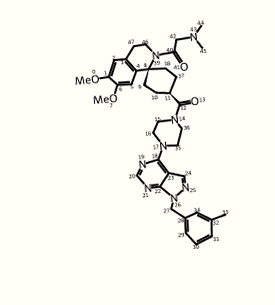 COc1cc2c(cc1OC)[C@]1(CC[C@H](C(=O)N3CCN(c4ncnc5c4cnn5Cc4cccc(C)c4)CC3)CC1)N(C(=O)CN(C)C)CC2